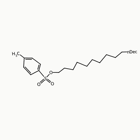 CCCCCCCCCCCCCCCCCCCCOS(=O)(=O)c1ccc(C)cc1